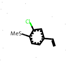 C=Cc1ccc(SC)c(Cl)c1